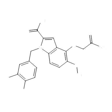 COc1ccc2c(cc(C(=O)O)n2Cc2ccc(Cl)c(Cl)c2)c1OCC(N)=O